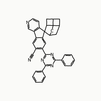 N#Cc1cc2c(cc1-c1nc(-c3ccccc3)nc(-c3ccccc3)n1)C1(c3ccncc3-2)C2CC3CC4CC1C34C2